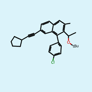 Cc1cc2ccc(C#CC3CCCC3)cc2c(-c2ccc(Cl)cc2)c1C(C)OC(C)(C)C